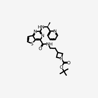 C[C@H](Nc1nc(C(=O)NCCC2CN(C(=O)OC(C)(C)C)C2)c2sccc2n1)c1ccccn1